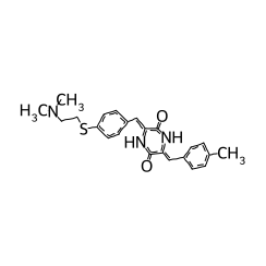 Cc1ccc(/C=c2\[nH]c(=O)/c(=C/c3ccc(SCCN(C)C)cc3)[nH]c2=O)cc1